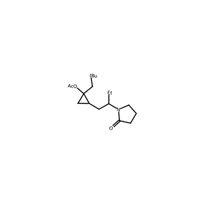 CCC(CC1CC1(CC(C)(C)C)OC(C)=O)N1CCCC1=O